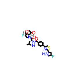 CC(C)C[C@H](NC(=O)c1ccc(-c2csc(C3CC(F)CN3)n2)cc1)C(=O)N1C[C@H](F)[C@H]2OCC(=O)[C@H]21